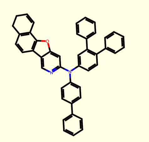 C1=Cc2c(ccc3c2oc2cc(N(c4ccc(-c5ccccc5)cc4)c4ccc(-c5ccccc5)c(-c5ccccc5)c4)ncc23)CC1